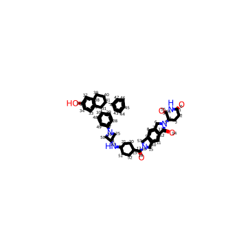 O=C1CCC(N2Cc3cc4c(cc3C2=O)CN(C(=O)C2CCC(NC3CN(c5ccc([C@@H]6c7ccc(O)cc7CC[C@@H]6c6ccccc6)cc5)C3)CC2)C4)C(=O)N1